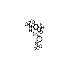 CC(C)N(C(=O)c1cc2c(cc1C(F)(F)F)OC(C)(C)C(=O)N2)[C@@H]1CCCN(OC(=O)C(C)(C)C)C1